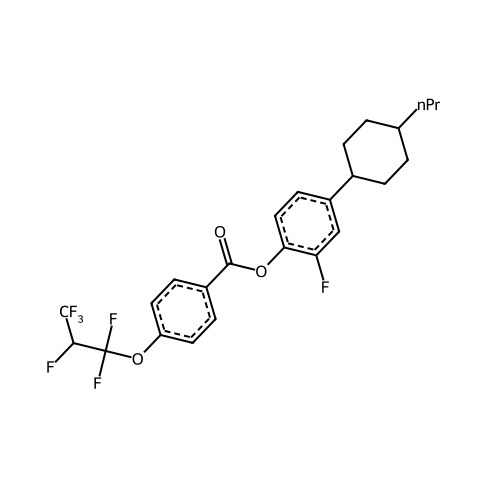 CCCC1CCC(c2ccc(OC(=O)c3ccc(OC(F)(F)C(F)C(F)(F)F)cc3)c(F)c2)CC1